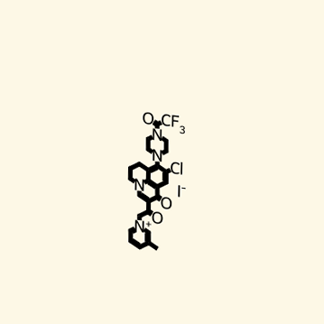 Cc1ccc[n+](CC(=O)c2cn3c4c(c(N5CCN(C(=O)C(F)(F)F)CC5)c(Cl)cc4c2=O)CCC3)c1.[I-]